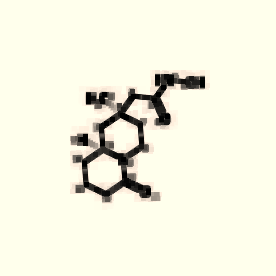 C[C@]1(CC(=O)NO)CCN2C(=O)CCC[C@H]2C1